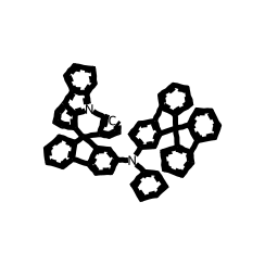 c1ccc(N(c2ccc3c(c2)C2(c4ccccc4-c4ccccc42)c2ccccc2-3)c2ccc3c(c2)C2(c4ccccc4-3)c3ccccc3-n3c4ccccc4c4cccc2c43)cc1